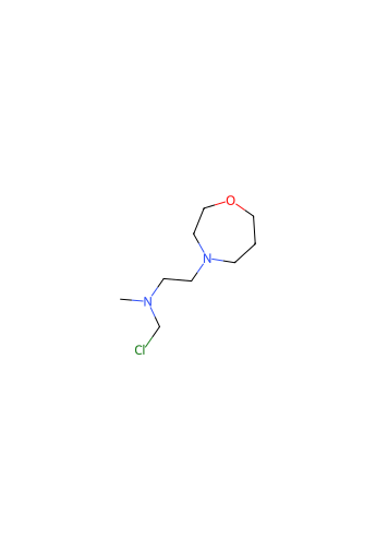 CN(CCl)CCN1CCCOCC1